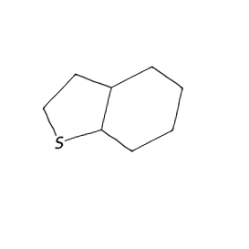 C1CCC2SCCC2C1